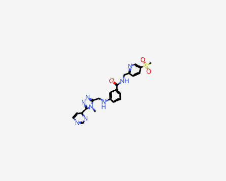 Cn1c(CNc2cccc(C(=O)NCc3ccc(S(C)(=O)=O)cn3)c2)nnc1-c1ccncn1